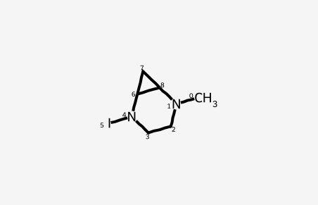 CN1CCN(I)C2CC21